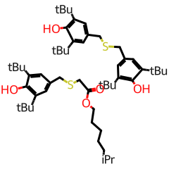 CC(C)(C)c1cc(CSCc2cc(C(C)(C)C)c(O)c(C(C)(C)C)c2)cc(C(C)(C)C)c1O.CC(C)CCCCCOC(=O)CSCc1cc(C(C)(C)C)c(O)c(C(C)(C)C)c1